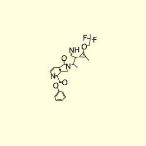 CC1=C(OCC(C)(F)F)C1C(C=N)C(C)N1Cc2c(ccnc2C(=O)Oc2ccccc2)C1=O